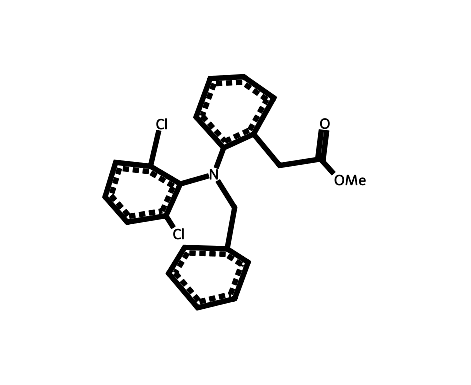 COC(=O)Cc1ccccc1N(Cc1ccccc1)c1c(Cl)cccc1Cl